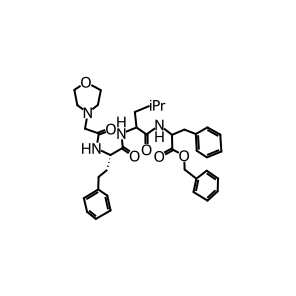 CC(C)CC(NC(=O)[C@H](CCc1ccccc1)NC(=O)CN1CCOCC1)C(=O)NC(Cc1ccccc1)C(=O)OCc1ccccc1